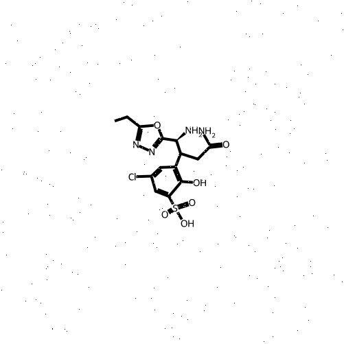 CCc1nnc([C@@H](N)C(CC(N)=O)c2cc(Cl)cc(S(=O)(=O)O)c2O)o1